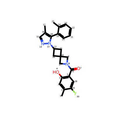 Cc1cc(O)c(C(=O)N2CC3(CC(n4ncc(C)c4-c4ccccc4C)C3)C2)cc1F